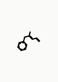 C=CC=C(C)[CH]c1ccccc1